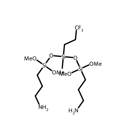 CO[Si](CCCN)(OC)O[Si](C)(CCC(F)(F)F)O[Si](CCCN)(OC)OC